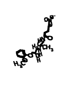 COc1ccccc1OCC(O)CNC(C)(C)CNC(=O)CCCO[N+](=O)[O-]